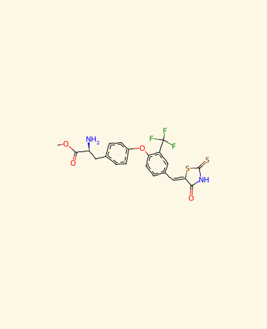 COC(=O)[C@@H](N)Cc1ccc(Oc2ccc(/C=C3\SC(=S)NC3=O)cc2C(F)(F)F)cc1